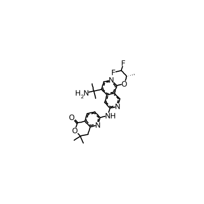 C[C@H](Oc1ncc(C(C)(C)N)c2cc(Nc3ccc4c(n3)CC(C)(C)OC4=O)ncc12)C(F)F